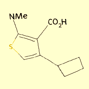 CNc1scc(C2CCC2)c1C(=O)O